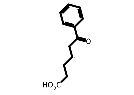 O=C(O)CC[CH]CC(=O)c1ccccc1